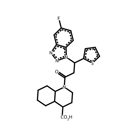 O=C(O)C1CCN(C(=O)CC(c2cccs2)n2nnc3cc(F)ccc32)C2CCCCC12